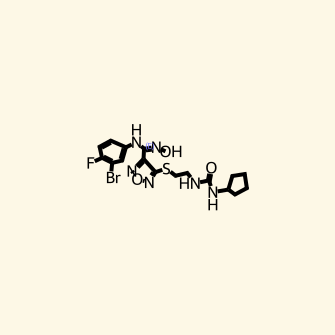 O=C(NCCSc1nonc1/C(=N\O)Nc1ccc(F)c(Br)c1)NC1CCCC1